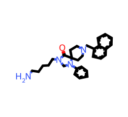 NCCCCCN1CN(c2ccccc2)C2(CCN(Cc3cccc4ccccc34)CC2)C1=O